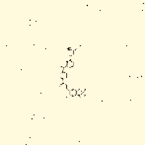 CC(O)COc1nccc(C(=O)N2CCN(C(=O)C=Cc3ccc4c(c3)OC(F)(F)O4)CC2)n1